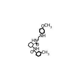 COc1ccc(NCCNC(=O)[C@@H]2CCCC[C@@H]2NC(=O)c2cccc(C)c2)cc1